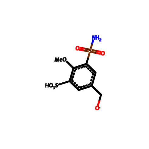 COc1c(S(N)(=O)=O)cc(C[O])cc1S(=O)(=O)O